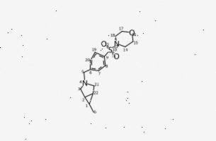 CC1C2CN(Cc3ccc(S(=O)(=O)N4CCOCC4)cc3)CC12